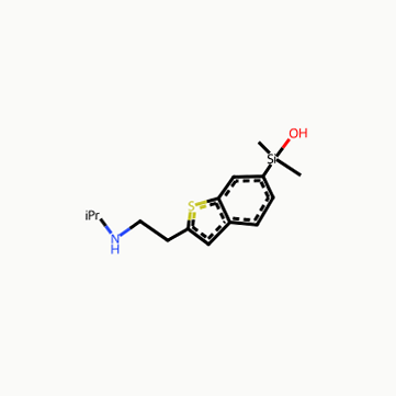 CC(C)NCCc1cc2ccc([Si](C)(C)O)cc2s1